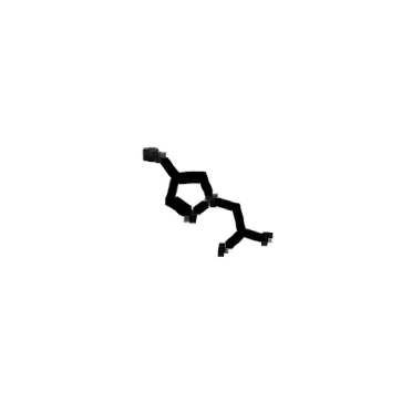 CC(C)(C)c1cnn(CC(F)F)c1